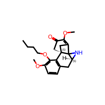 CCCCOc1c(OC)ccc2c1[C@@]13CC(=O)C(OC)=C(C1)C31N[C@H]1C2